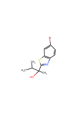 CC(C)C(C)(O)c1nc2ccc(Br)cc2s1